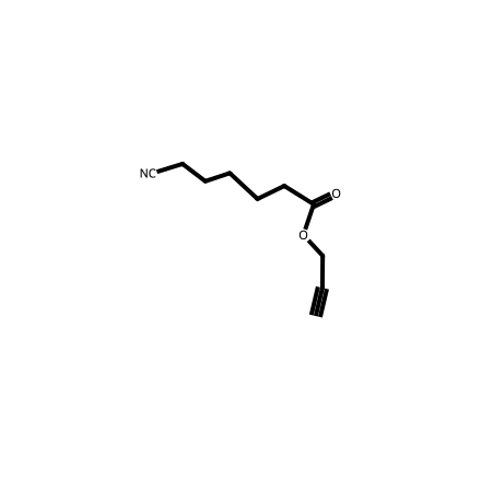 C#CCOC(=O)CCCCCC#N